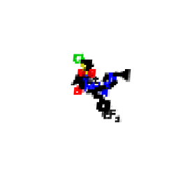 CCN(C1(C(=O)NCc2cc(-c3ccc(C(F)(F)F)cc3)nc(N3CCN(CC4CC4)CC3)c2)CC1)S(=O)(=O)c1ccc(Cl)s1